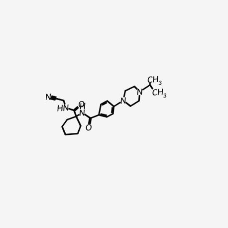 CC(C)N1CCN(c2ccc(C(=O)NC3(C(=O)NCC#N)CCCCC3)cc2)CC1